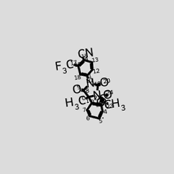 CC1(c2cc[c]cc2)C(=O)N(c2ccc(C#N)c(C(F)(F)F)c2)C(=O)N1S(C)(=O)=O